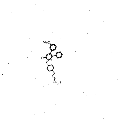 COc1cccc(-c2cc(=O)n(C[C@H]3CC[C@H](COCC(=O)O)CC3)nc2-c2ccccc2)c1